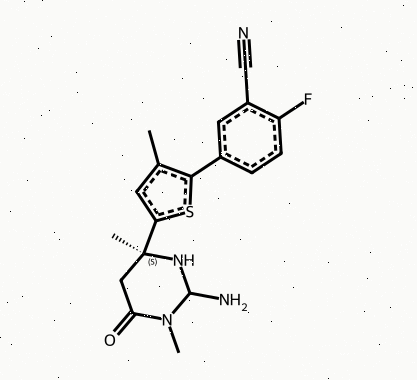 Cc1cc([C@]2(C)CC(=O)N(C)C(N)N2)sc1-c1ccc(F)c(C#N)c1